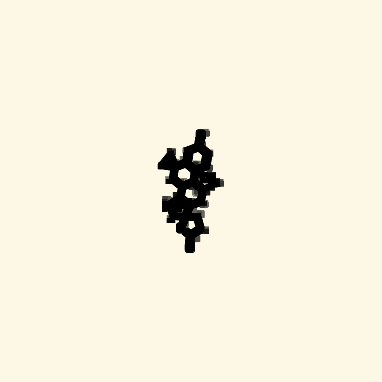 C[C@]12C=CC(=O)C=C1C1(CC1)CC1C2[C@@H](F)C[C@@]2(C)C1CCC21CCC(=O)O1